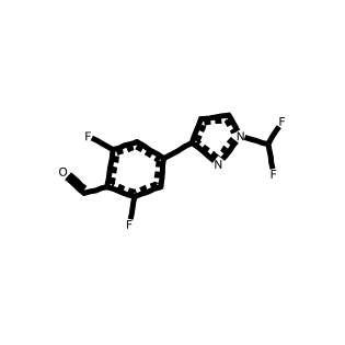 O=Cc1c(F)cc(-c2ccn(C(F)F)n2)cc1F